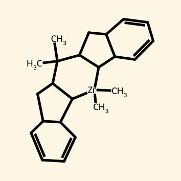 CC1(C)C2CC3C=CC=CC3[CH]2[Zr]([CH3])([CH3])[CH]2C3C=CC=CC3CC21